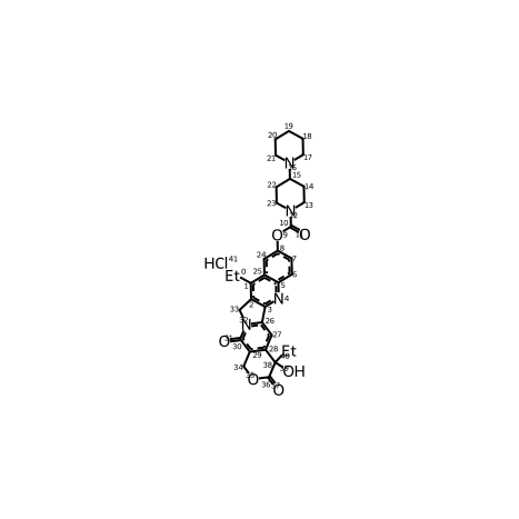 CCc1c2c(nc3ccc(OC(=O)N4CCC(N5CCCCC5)CC4)cc13)-c1cc3c(c(=O)n1C2)COC(=O)C3(O)CC.Cl